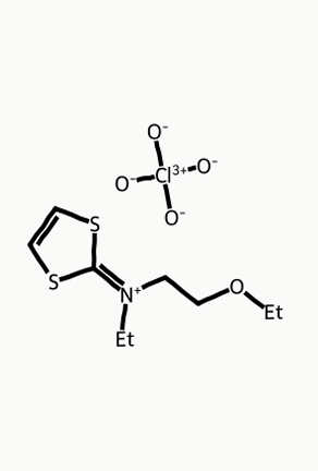 CCOCC[N+](CC)=c1sccs1.[O-][Cl+3]([O-])([O-])[O-]